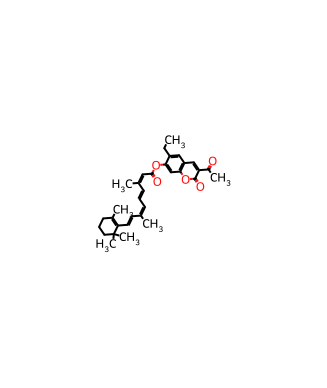 CCc1cc2cc(C(C)=O)c(=O)oc2cc1OC(=O)C=C(C)C=CC=C(C)C=CC1=C(C)CCCC1(C)C